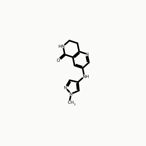 Cn1cc(Nc2cnc3c(c2)C(=O)NCC3)cn1